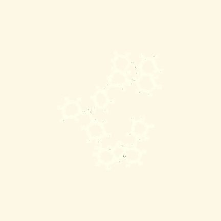 C1=Cc2cc(-c3ccc(N(c4ccccc4)c4ccc(-c5cccc6c5oc5c(-c7ccccc7)cccc56)cc4)cc3)cc(C3=c4ccccc4=CCC3)c2CC1